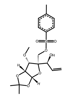 C=C[C@H](O)[C@@]1(COS(=O)(=O)c2ccc(C)cc2)O[C@@H]2OC(C)(C)O[C@@H]2[C@@H]1OC